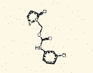 O=C(Nc1cccc(Cl)c1)OCn1sccc1=O